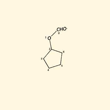 O=[C]OC1CCCC1